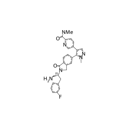 CNC(=O)c1ccc(-c2cnn(C)c2-c2ccc3c(c2)CN([C@H](CN)Cc2cccc(F)c2)C3=O)cn1